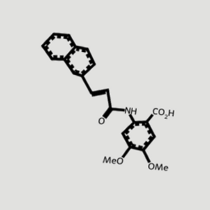 COc1cc(NC(=O)/C=C/c2ccc3ccccc3c2)c(C(=O)O)cc1OC